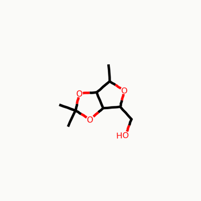 CC1OC(CO)C2OC(C)(C)OC12